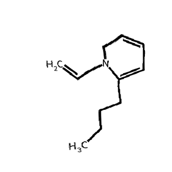 C=CN1CC=CC=C1CCCC